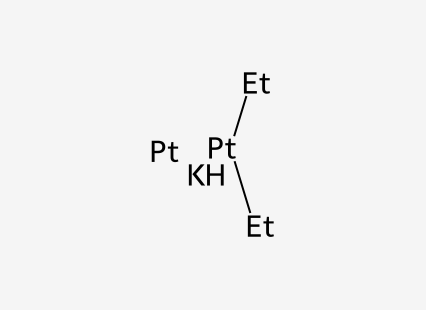 C[CH2][Pt][CH2]C.[KH].[Pt]